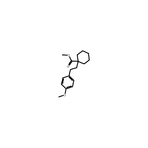 COC(=O)C1(CCc2ccc(OC)cc2)CCCCC1